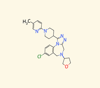 Cc1ccc(N2CCC(c3nnc4n3-c3ccc(Cl)cc3CN([C@H]3CCOC3)C4)CC2)nc1